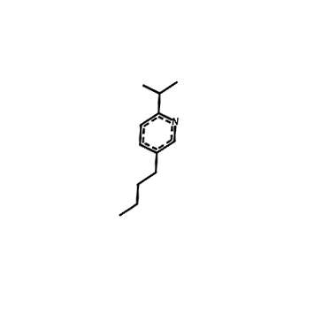 CCCCc1ccc(C(C)C)nc1